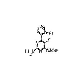 CCn1nccc1-c1nc(N)nc(NC)c1F